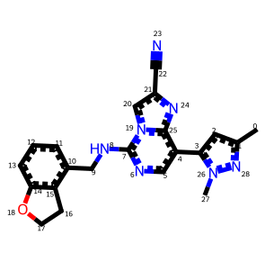 Cc1cc(-c2cnc(NCc3cccc4c3CCO4)n3cc(C#N)nc23)n(C)n1